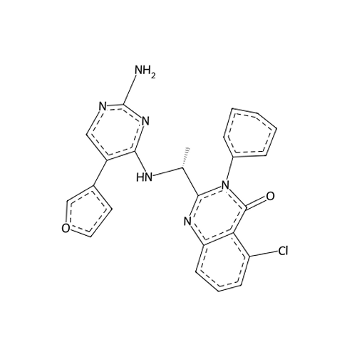 C[C@@H](Nc1nc(N)ncc1-c1ccoc1)c1nc2cccc(Cl)c2c(=O)n1-c1ccccc1